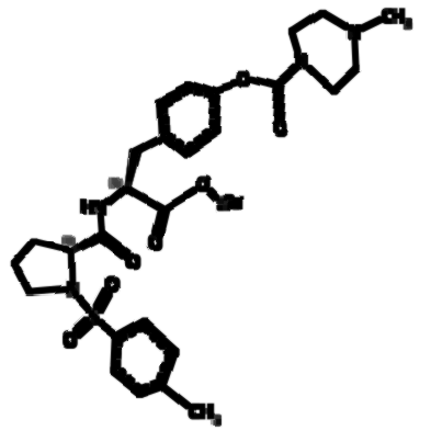 Cc1ccc(S(=O)(=O)N2CCC[C@H]2C(=O)N[C@@H](Cc2ccc(OC(=O)N3CCN(C)CC3)cc2)C(=O)OC(C)(C)C)cc1